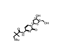 CC(C)(C)CC(C)(C)C(=O)Nc1ccn([C@H]2C[C@@H](O)[C@@H](CO)S2)c(=O)n1